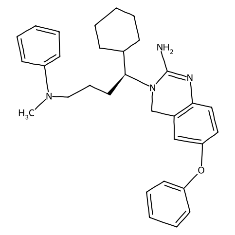 CN(CCC[C@@H](C1CCCCC1)N1Cc2cc(Oc3ccccc3)ccc2N=C1N)c1ccccc1